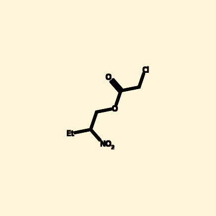 CCC(COC(=O)CCl)[N+](=O)[O-]